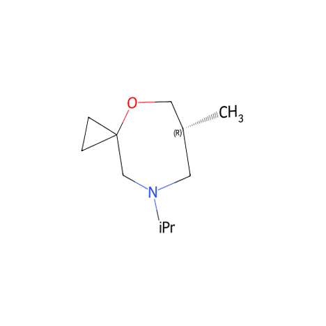 CC(C)N1C[C@@H](C)COC2(CC2)C1